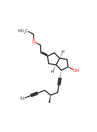 CCC#CC[C@H](C)CC#C[C@@H]1[C@H]2C/C(=C/COCC(=O)O)C[C@H]2C[C@H]1O